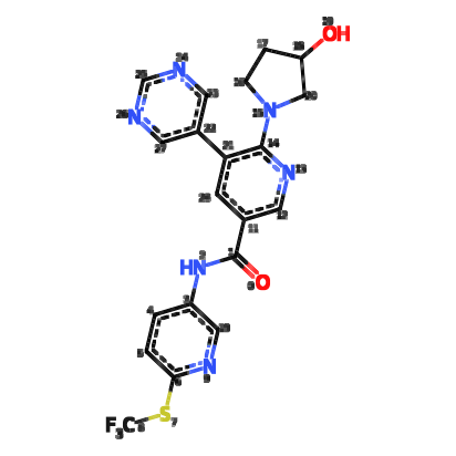 O=C(Nc1ccc(SC(F)(F)F)nc1)c1cnc(N2CCC(O)C2)c(-c2cncnc2)c1